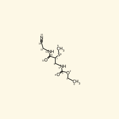 CCOC(=O)NCC(SC)C(=O)NCC#N